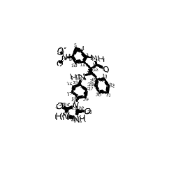 O=C1Nc2ccc([N+](=O)[O-])cc2C1=C(Nc1ccc(-n2c(=O)[nH][nH]c2=O)cc1)c1ccccc1